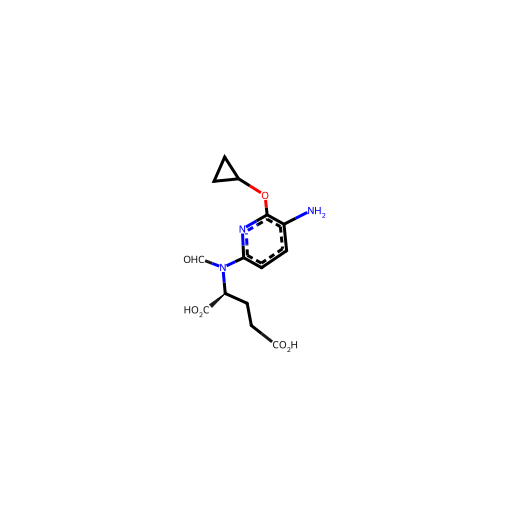 Nc1ccc(N(C=O)[C@@H](CCC(=O)O)C(=O)O)nc1OC1CC1